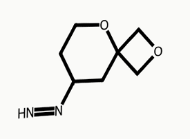 N=N[C]1CCOC2(COC2)C1